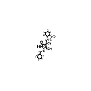 O=C(CC1CC(=O)c2ccccc21)C1=C(O)C(CCc2ccccc2)NC1=O